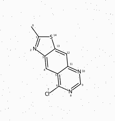 Cc1nc2cc3c(Cl)ncnc3cc2s1